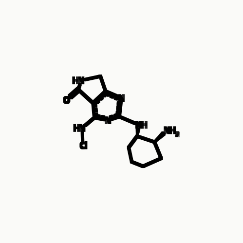 N[C@H]1CCCC[C@H]1Nc1nc2c(c(NCl)n1)C(=O)NC2